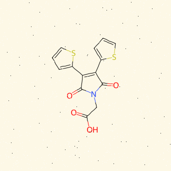 O=C(O)CN1C(=O)C(c2cccs2)=C(c2cccs2)C1=O